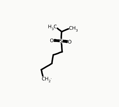 [CH2]CCCCS(=O)(=O)C(C)C